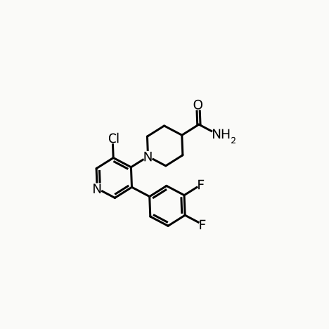 NC(=O)C1CCN(c2c(Cl)cncc2-c2ccc(F)c(F)c2)CC1